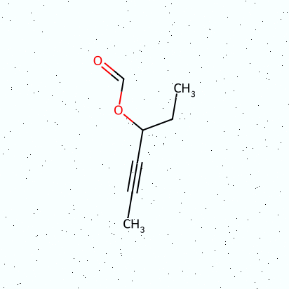 CC#CC(CC)OC=O